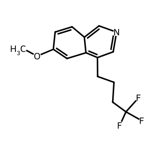 COc1ccc2cncc(CCCC(F)(F)F)c2c1